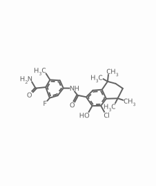 Cc1cc(NC(=O)c2cc3c(c(Cl)c2O)C(C)(C)CCC3(C)C)cc(F)c1C(N)=O